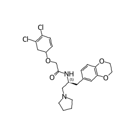 O=C(COC1C=CC(Cl)=C(Cl)C1)N[C@@H](Cc1ccc2c(c1)OCCO2)CN1CCCC1